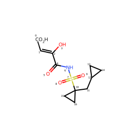 O=C(O)/C=C(\O)C(=O)NS(=O)(=O)C1(CC2CC2)CC1